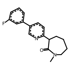 CN1CCCCC(c2ccc(-c3cccc(F)c3)cn2)C1=O